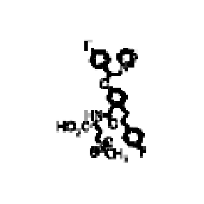 CS(=O)(=O)CC[C@H](NC(=O)c1cc(OC(Cn2ccnc2)c2ccc(F)cc2)ccc1CCc1ccc(F)cc1)C(=O)O